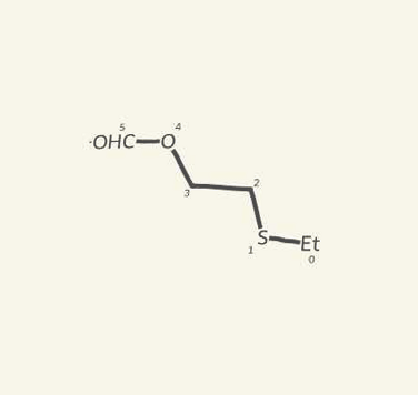 CCSCCO[C]=O